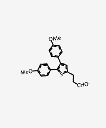 COc1ccc(-c2cc(CC[C]=O)sc2-c2ccc(OC)cc2)cc1